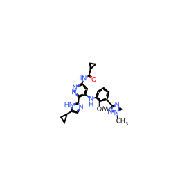 COc1c(Nc2cc(NC(=O)C3CC3)nnc2-c2ncc(C3CC3)[nH]2)cccc1-c1ncn(C)n1